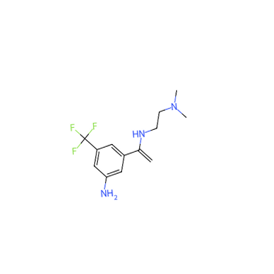 C=C(NCCN(C)C)c1cc(N)cc(C(F)(F)F)c1